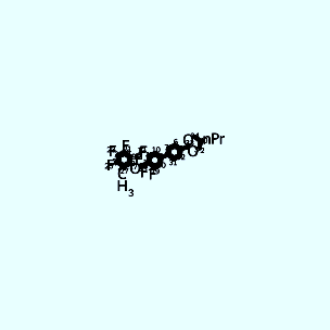 CCCC1COC(c2ccc(-c3cc(F)c(C(F)(F)Oc4cc(F)c(F)c(F)c4C)c(F)c3)cc2)OC1